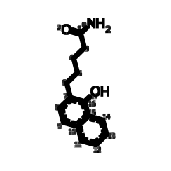 NC(=O)CCCCc1ccc2ccccc2c1O